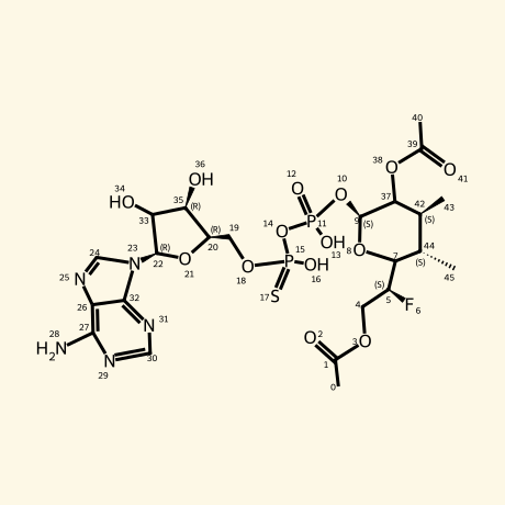 CC(=O)OC[C@H](F)C1O[C@@H](OP(=O)(O)OP(O)(=S)OC[C@H]2O[C@@H](n3cnc4c(N)ncnc43)C(O)[C@H]2O)C(OC(C)=O)[C@@H](C)[C@@H]1C